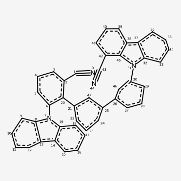 N#Cc1cccc(-n2c3ccccc3c3ccccc32)c1-c1cccc(-c2cccc(-n3c4ccccc4c4cccc(C#N)c43)c2)c1